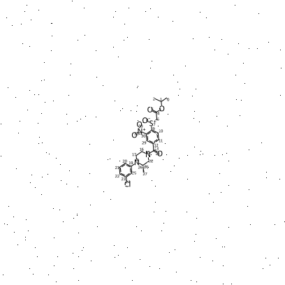 CC(C)OC(=O)C[S+]([O-])c1ccc(C(=O)N2CCN(c3cccc(Cl)c3)[C@H](C)C2)cc1[N+](=O)[O-]